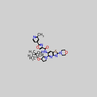 Cc1cc(-c2nc(C(=O)Nc3cc4sc(N5CCOCC5)nc4nc3N3CCC(O[Si](C)(C)C(C)(C)C)C3)co2)ccn1